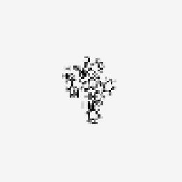 CC(C)(O)c1cnnn1[C@H]1C[C@@H](C(=O)NC2(C(=O)C(N)=O)CCOCC2)N(C(=O)C(CC2CCCCC2)NC(=O)Nc2ccccc2)C1